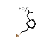 CC(Cc1cccc(CCBr)c1)C(=O)O